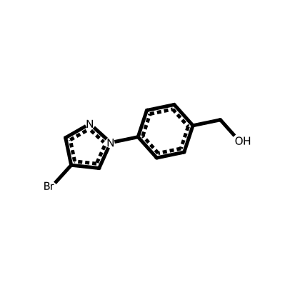 OCc1ccc(-n2cc(Br)cn2)cc1